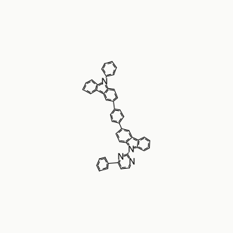 c1ccc(-c2ccnc(-n3c4ccccc4c4cc(-c5ccc(-c6ccc7c(c6)c6ccccc6n7-c6ccccc6)cc5)ccc43)n2)cc1